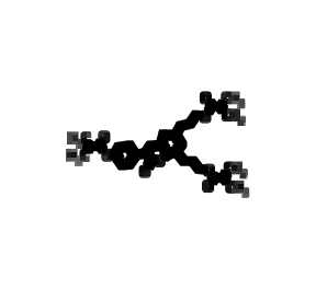 C=C(C)C(=O)OCCCc1cc(CCCOC(=O)C(=C)C)c2oc(=O)c(-c3ccc(OC(=O)C(=C)C)cc3)cc2c1